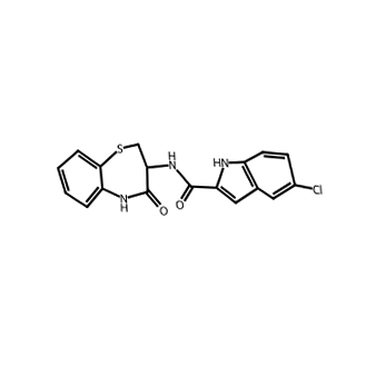 O=C(NC1CSc2ccccc2NC1=O)c1cc2cc(Cl)ccc2[nH]1